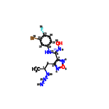 CC(Cc1nonc1/C(=N/O)Nc1ccc(F)c(Br)c1)N=[N+]=[N-]